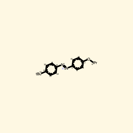 CC(C)Oc1ccc(/N=N/c2ccc(C(C)(C)C)cc2)cc1